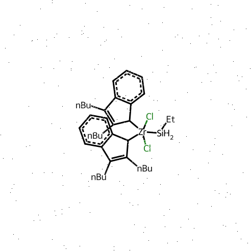 CCCCC1=C(CCCC)[CH]([Zr]([Cl])([Cl])([SiH2]CC)[CH]2C(CCCC)=C(CCCC)c3ccccc32)c2ccccc21